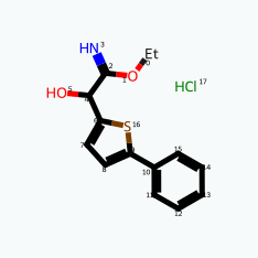 CCOC(=N)C(O)c1ccc(-c2ccccc2)s1.Cl